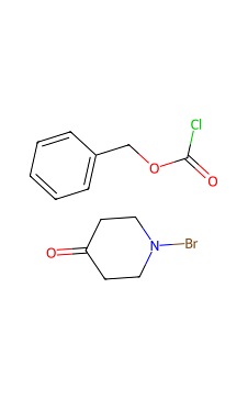 O=C(Cl)OCc1ccccc1.O=C1CCN(Br)CC1